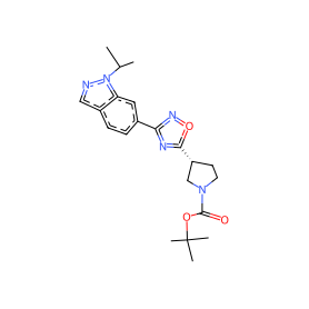 CC(C)n1ncc2ccc(-c3noc([C@@H]4CCN(C(=O)OC(C)(C)C)C4)n3)cc21